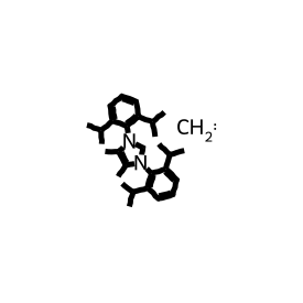 CC1=C(C)N(c2c(C(C)C)cccc2C(C)C)CN1c1c(C(C)C)cccc1C(C)C.[CH2]